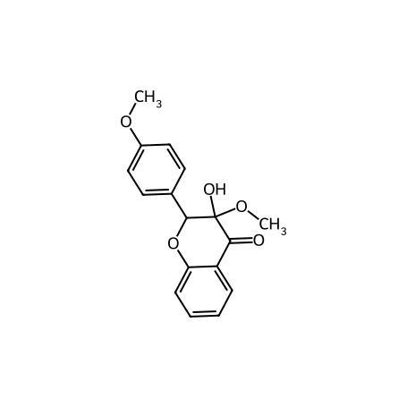 COc1ccc(C2Oc3ccccc3C(=O)C2(O)OC)cc1